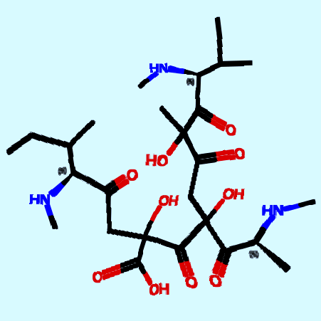 CCC(C)[C@H](NC)C(=O)CC(O)(C(=O)O)C(=O)C(O)(CC(=O)C(C)(O)C(=O)[C@@H](NC)C(C)C)C(=O)[C@H](C)NC